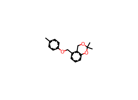 Cc1ccc(OCc2cccc3c2COC(C)(C)O3)cc1